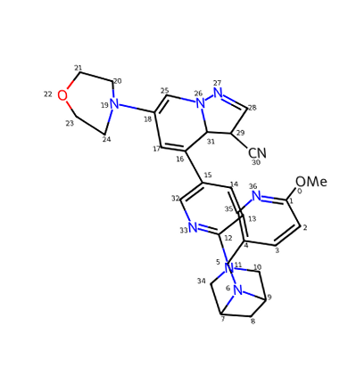 COc1ccc(CN2C3CC2CN(c2ccc(C4=CC(N5CCOCC5)=CN5N=CC(C#N)C45)cn2)C3)cn1